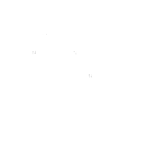 Cc1ccc(CN2COC(CN3CCN(C(c4ccccc4)c4ccccc4)CC3)C2)cc1